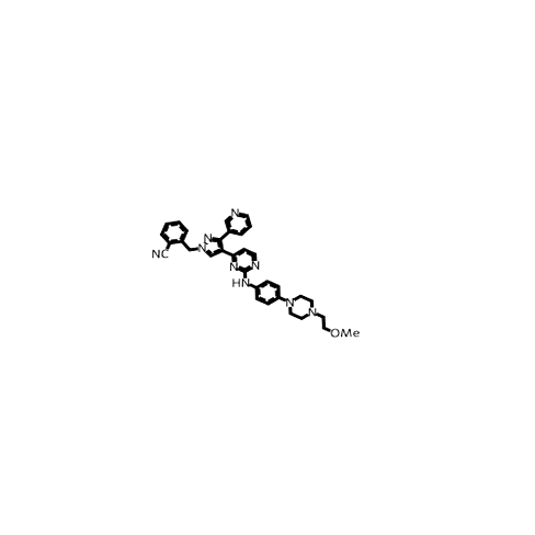 COCCN1CCN(c2ccc(Nc3nccc(-c4cn(Cc5ccccc5C#N)nc4-c4cccnc4)n3)cc2)CC1